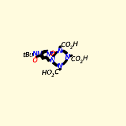 CC(C)(C)NC(=O)c1cc[n+]([O-])c(CN2CCN(CC(=O)O)CCN(CC(=O)O)CCN(CC(=O)O)CC2)c1